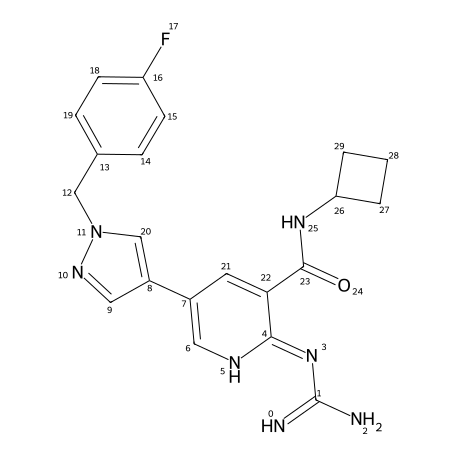 N=C(N)/N=c1\[nH]cc(-c2cnn(Cc3ccc(F)cc3)c2)cc1C(=O)NC1CCC1